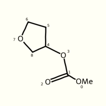 COC(=O)OC1CCOC1